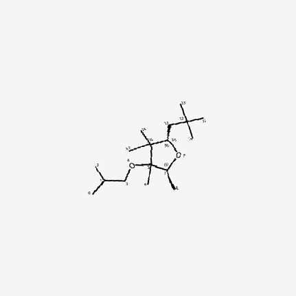 CC(C)COC1(C)[C@H](C)O[C@H](CC(C)(C)C)C1(C)C